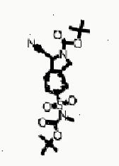 CN(C(=O)OC(C)(C)C)S(=O)(=O)c1ccc2c(c1)CN(C(=O)OC(C)(C)C)C2C#N